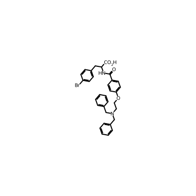 O=C(NC(Cc1ccc(Br)cc1)C(=O)O)c1ccc(OCCN(Cc2ccccc2)Cc2ccccc2)cc1